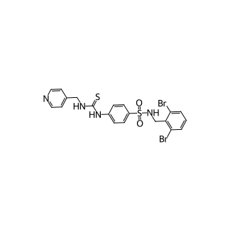 O=S(=O)(NCc1c(Br)cccc1Br)c1ccc(NC(=S)NCc2ccncc2)cc1